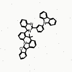 CC1(C)c2c(-c3nc(-c4cccc(-n5c6ccccc6c6ccccc65)c4)nc4ccccc34)cccc2-n2c3oc4ccccc4c3c3cccc1c32